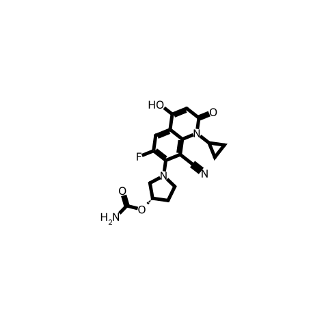 N#Cc1c(N2CC[C@H](OC(N)=O)C2)c(F)cc2c(O)cc(=O)n(C3CC3)c12